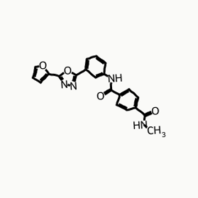 CNC(=O)c1ccc(C(=O)Nc2cccc(-c3nnc(-c4ccco4)o3)c2)cc1